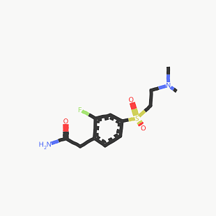 CN(C)CCS(=O)(=O)c1ccc(CC(N)=O)c(F)c1